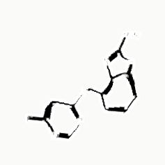 CC(=O)Nc1nc2c(Oc3cc(I)ncn3)cccc2s1